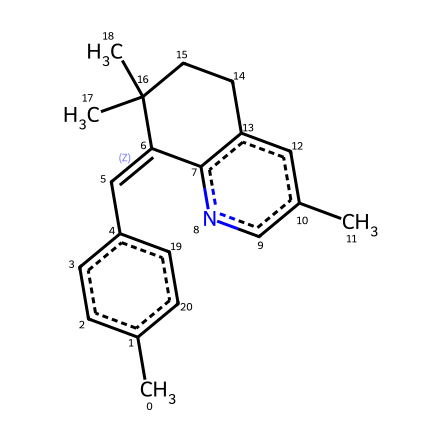 Cc1ccc(/C=C2\c3ncc(C)cc3CCC2(C)C)cc1